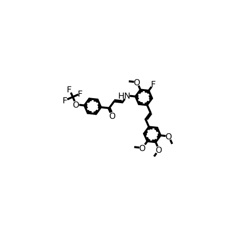 COc1cc(C=Cc2cc(F)c(OC)c(NC=CC(=O)c3ccc(OC(F)(F)F)cc3)c2)cc(OC)c1OC